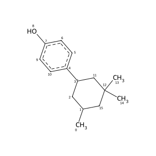 CC1C[C](c2ccc(O)cc2)CC(C)(C)C1